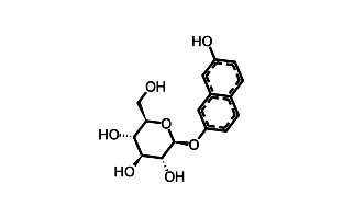 OC[C@H]1O[C@@H](Oc2ccc3ccc(O)cc3c2)[C@H](O)[C@@H](O)[C@@H]1O